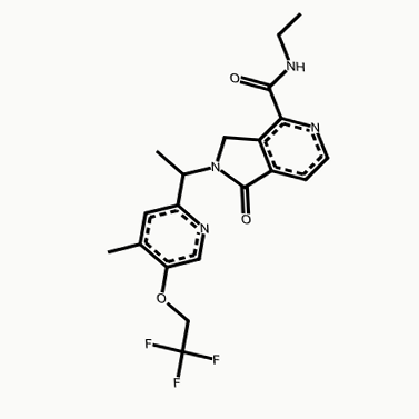 CCNC(=O)c1nccc2c1CN(C(C)c1cc(C)c(OCC(F)(F)F)cn1)C2=O